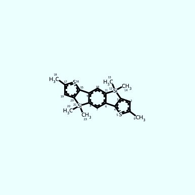 Cc1cc2c(s1)-c1cc3c(cc1[Si]2(C)C)-c1sc(C)cc1[Si]3(C)C